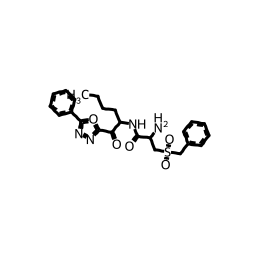 CCCCC(NC(=O)C(N)CS(=O)(=O)Cc1ccccc1)C(=O)c1nnc(-c2ccccc2)o1